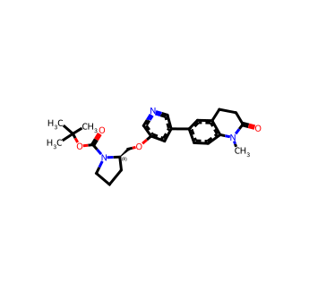 CN1C(=O)CCc2cc(-c3cncc(OC[C@H]4CCCN4C(=O)OC(C)(C)C)c3)ccc21